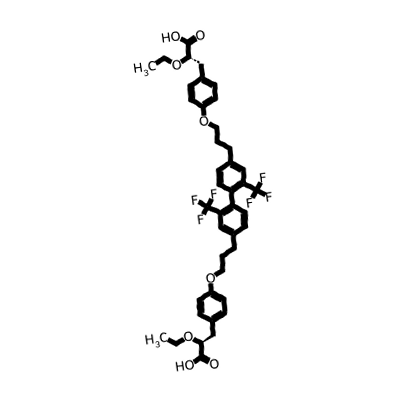 CCO[C@@H](Cc1ccc(OCCCc2ccc(-c3ccc(CCCOc4ccc(C[C@H](OCC)C(=O)O)cc4)cc3C(F)(F)F)c(C(F)(F)F)c2)cc1)C(=O)O